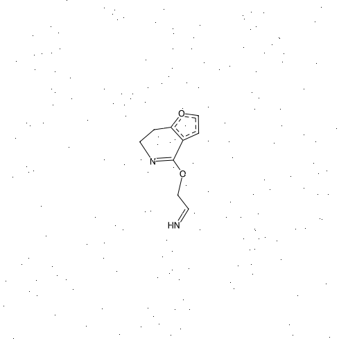 N=CCOC1=NCCc2occc21